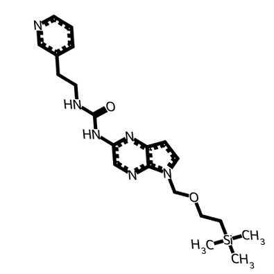 C[Si](C)(C)CCOCn1ccc2nc(NC(=O)NCCc3cccnc3)cnc21